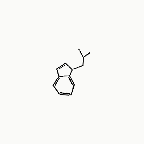 CC(C)Cn1c[c]c2ccccc21